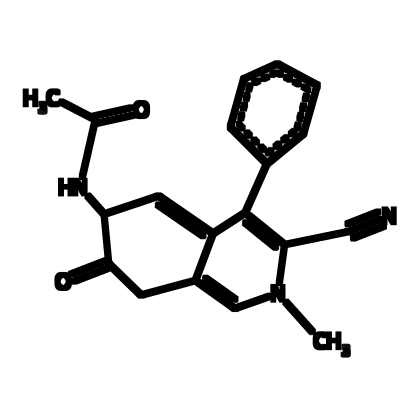 CC(=O)NC1C=C2C(=CN(C)C(C#N)=C2c2ccccc2)CC1=O